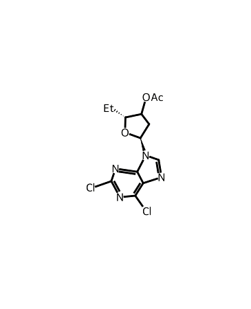 CC[C@H]1O[C@H](n2cnc3c(Cl)nc(Cl)nc32)CC1OC(C)=O